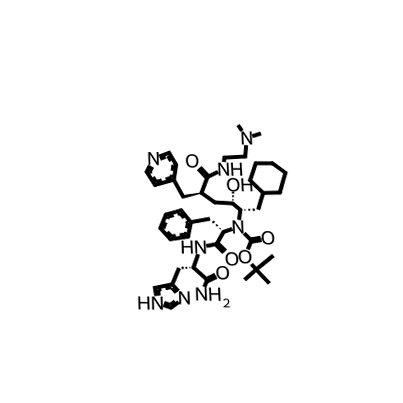 CN(C)CCNC(=O)[C@H](Cc1ccncc1)C[C@H](O)[C@H](CC1CCCCC1)N(C(=O)OC(C)(C)C)[C@@H](Cc1ccccc1)C(=O)N[C@@H](Cc1c[nH]cn1)C(N)=O